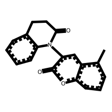 Cc1cccc2oc(=O)c(N3C(=O)CCc4[c]cccc43)cc12